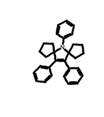 c1ccc(C2=C(c3ccccc3)C3(CCCC3)N(c3ccccc3)C23CCCC3)cc1